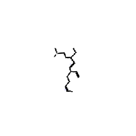 C=CC(/C=C/C(CC)CCN(C)C)CC/C=C\C